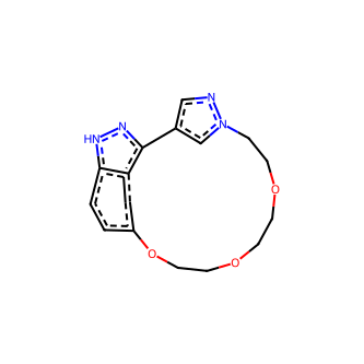 c1cc2[nH]nc3c2cc1OCCOCCOCCn1cc-3cn1